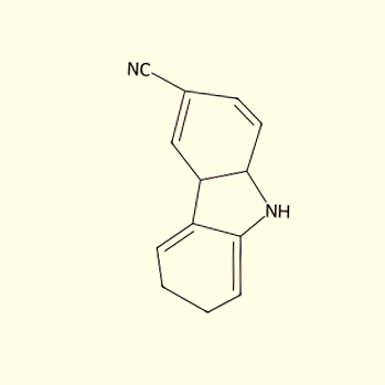 N#CC1=CC2C3=CCCC=C3NC2C=C1